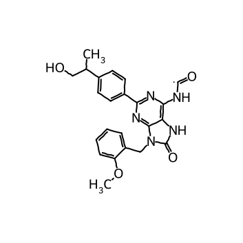 COc1ccccc1Cn1c(=O)[nH]c2c(N[C]=O)nc(-c3ccc(C(C)CO)cc3)nc21